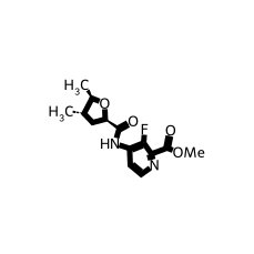 COC(=O)c1nccc(NC(=O)[C@H]2C[C@H](C)[C@@H](C)O2)c1F